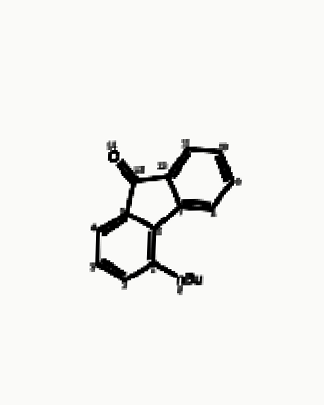 CCCCc1cccc2c1-c1ccccc1C2=O